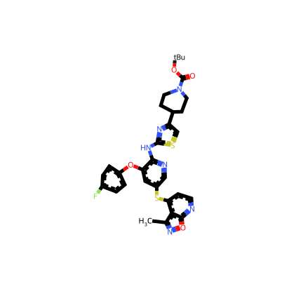 Cc1noc2nccc(Sc3cnc(Nc4nc(C5CCN(C(=O)OC(C)(C)C)CC5)cs4)c(Oc4ccc(F)cc4)c3)c12